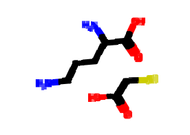 NCCCC(N)C(=O)O.O=C(O)CS